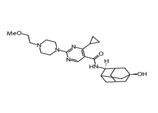 COCCN1CCN(c2ncc(C(=O)N[C@H]3C4CC5CC3C[C@@](O)(C5)C4)c(C3CC3)n2)CC1